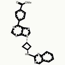 COC(=O)c1ccc(-c2ncnc3c2ncn3[C@H]2C[C@H](Nc3ncc4ccccc4n3)C2)cc1